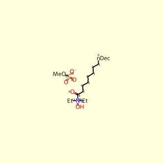 CCCCCCCCCCCCCCCCCC(=O)[N+](O)(CC)CC.COS(=O)(=O)[O-]